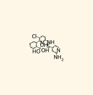 Nc1cc(SNc2ccc(Cl)c(-c3ccccc3C(O)(O)O)n2)ccn1